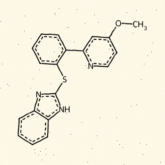 COc1ccnc(-c2ccccc2Sc2nc3ccccc3[nH]2)c1